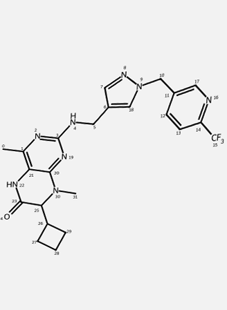 Cc1nc(NCc2cnn(Cc3ccc(C(F)(F)F)nc3)c2)nc2c1NC(=O)C(C1CCC1)N2C